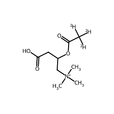 [2H]C([2H])([2H])C(=O)OC(CC(=O)O)C[N+](C)(C)C